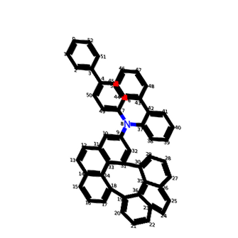 c1ccc(-c2ccc(N(c3cc4ccc5cccc6c7cccc8ccc9cccc(c(c3)c4c56)c9c87)c3ccccc3-c3ccccc3)cc2)cc1